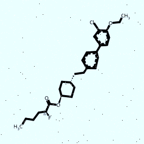 CCCC[C@H](F)C(=O)O[C@H]1CC[C@H](CCc2ccc(-c3ccc(OCC)c(Cl)c3)cc2)CC1